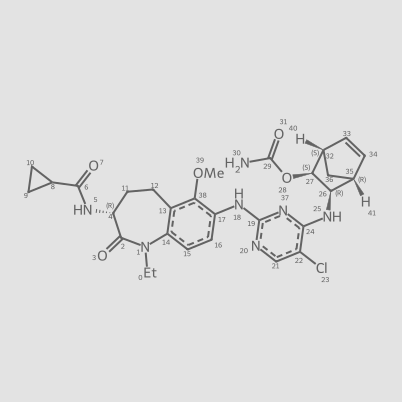 CCN1C(=O)[C@H](NC(=O)C2CC2)CCc2c1ccc(Nc1ncc(Cl)c(N[C@H]3[C@@H](OC(N)=O)[C@@H]4C=C[C@H]3C4)n1)c2OC